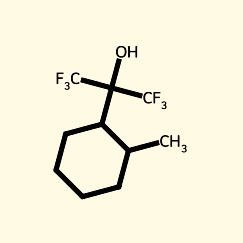 CC1CCCCC1C(O)(C(F)(F)F)C(F)(F)F